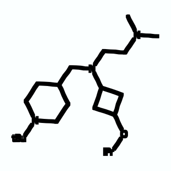 CC(C)OC1CC(N(CCN(C)C)CC2CCN(C(C)(C)C)CC2)C1